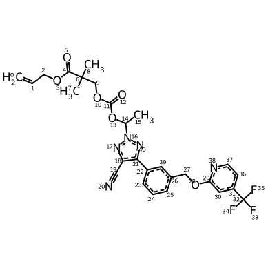 C=CCOC(=O)C(C)(C)COC(=O)OC(C)n1nc(C#N)c(-c2cccc(COc3cc(C(F)(F)F)ccn3)c2)n1